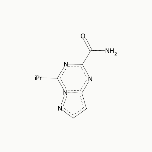 CC(C)c1nc(C(N)=O)nc2ccnn12